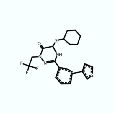 O=C1C(SC2CCCCC2)NC(c2cccc(-c3ccsc3)c2)=NN1CC(F)(F)F